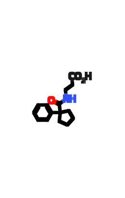 O=C(O)CCNC(=O)C1(c2ccccc2)CCCC1